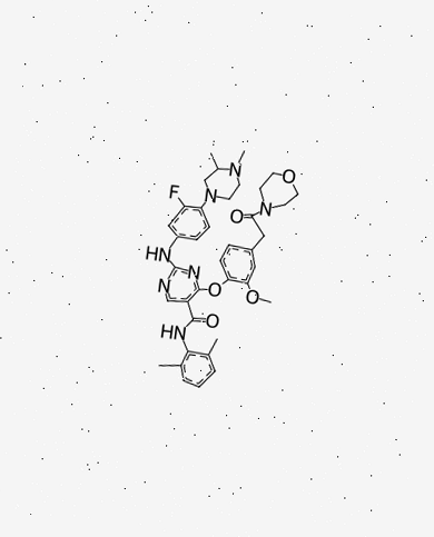 COc1cc(CC(=O)N2CCOCC2)ccc1Oc1nc(Nc2ccc(N3CCN(C)C(C)C3)c(F)c2)ncc1C(=O)Nc1c(C)cccc1C